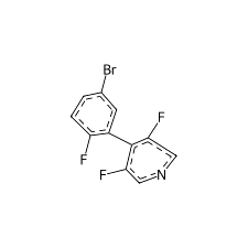 Fc1ccc(Br)cc1-c1c(F)cncc1F